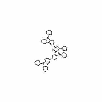 c1ccc(-c2nc(-c3ccc4c(c3)c3ccccc3n4-c3ccccc3)nc3c4cc(-c5ccc6c(c5)c5ccccc5n6-c5ccccc5)ccc4n(-c4ccccc4)c23)cc1